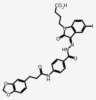 O=C(O)CCCN1C(=O)C(=NNC(=O)c2ccc(NC(=O)CCc3ccc4c(c3)OCO4)cc2)c2cc(I)ccc21